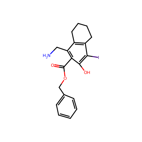 NCc1c2c(c(I)c(O)c1C(=O)OCc1ccccc1)CCCC2